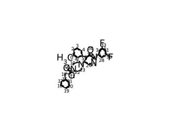 Cc1cccc(-c2c(N3CCN(S(=O)(=O)Cc4ccccc4)CC3)cnn(-c3cc(F)cc(F)c3)c2=O)c1